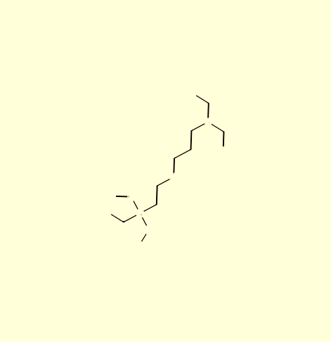 CCN(CC)CCCOCC[Si](CC)(OC)OC